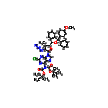 COc1ccc(C(OC[C@H]2O[C@@H](n3cnc4c(N(C(=O)OC(C)(C)C)C(=O)OC(C)(C)C)nc(Cl)nc43)[C@@H](N=[N+]=[N-])[C@@H]2C)(c2ccccc2)c2ccccc2)cc1